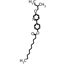 CCCCCCCCCCC(=O)Oc1ccc(-c2ccc(OCC(C)CC)cn2)cc1